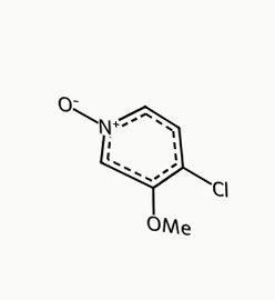 COc1c[n+]([O-])ccc1Cl